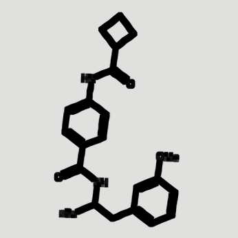 CCCCC(Cc1cccc(OC)c1)NC(=O)c1ccc(NC(=O)C2CCC2)cc1